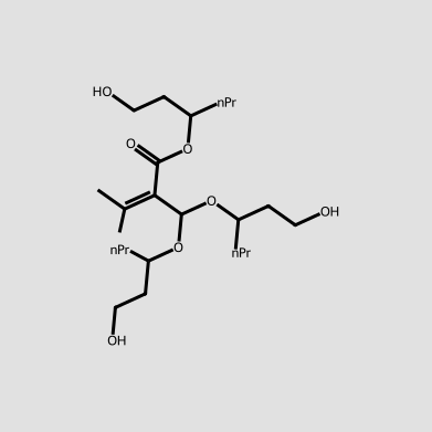 CCCC(CCO)OC(=O)C(=C(C)C)C(OC(CCC)CCO)OC(CCC)CCO